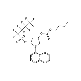 CCCCOC(=O)OC1CC[S+](c2cccc3ccccc23)C1.O=S(=O)([O-])C(F)(F)C(F)(F)C(F)(F)C(F)(F)F